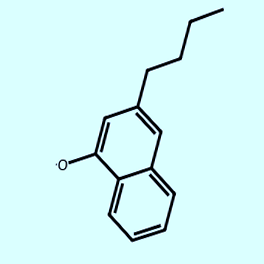 CCCCc1cc([O])c2ccccc2c1